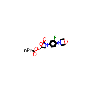 CCCC(=O)OC[C@H]1CN(c2ccc(N3CCOCC3)c(F)c2)C(=O)O1